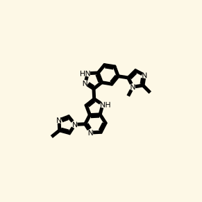 Cc1cn(-c2nccc3[nH]c(-c4n[nH]c5ccc(-c6cnc(C)n6C)cc45)cc23)cn1